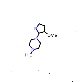 COC1CC[N]C1N1CCN(C)CC1